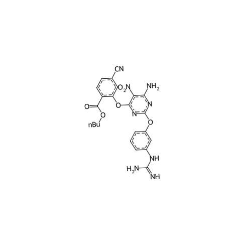 CCCCOC(=O)c1ccc(C#N)cc1Oc1nc(Oc2cccc(NC(=N)N)c2)nc(N)c1[N+](=O)[O-]